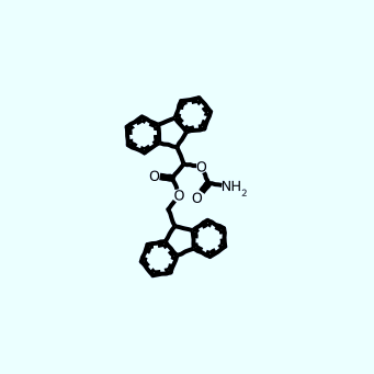 NC(=O)OC(C(=O)OCC1c2ccccc2-c2ccccc21)C1c2ccccc2-c2ccccc21